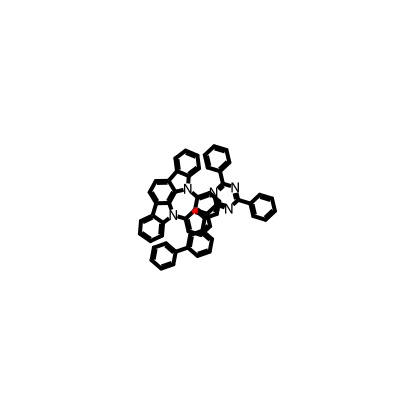 c1ccc(-c2cccc(-c3cccc(-n4c5ccccc5c5ccc6c7ccccc7n(-c7cccc(-c8nc(-c9ccccc9)nc(-c9ccccc9)n8)c7)c6c54)c3)c2)cc1